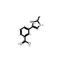 CC1NC(c2cccc(C(=O)Cl)c2)=CS1